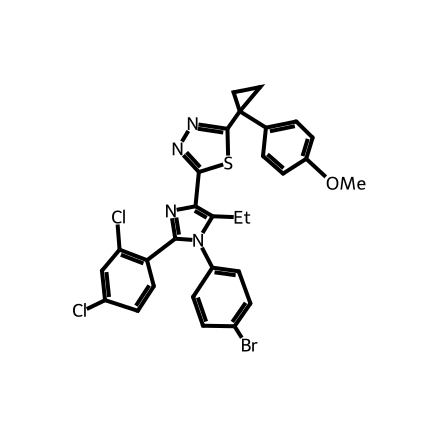 CCc1c(-c2nnc(C3(c4ccc(OC)cc4)CC3)s2)nc(-c2ccc(Cl)cc2Cl)n1-c1ccc(Br)cc1